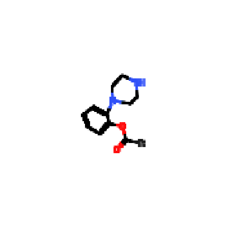 CCC(=O)Oc1ccccc1N1CCNCC1